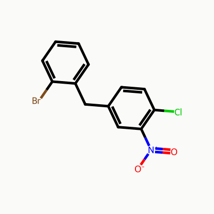 O=[N+]([O-])c1cc(Cc2ccccc2Br)ccc1Cl